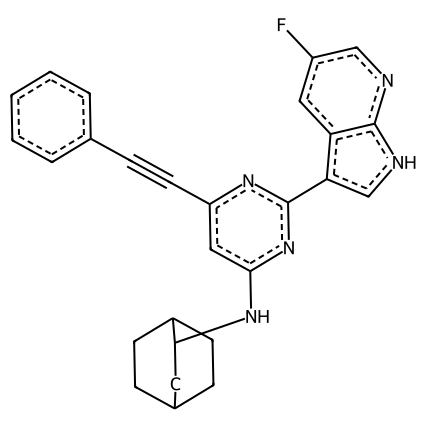 Fc1cnc2[nH]cc(-c3nc(C#Cc4ccccc4)cc(NC4CC5CCC4CC5)n3)c2c1